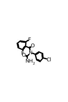 NC(=O)N(C(=O)c1c(F)cccc1F)c1ccc(Cl)cc1